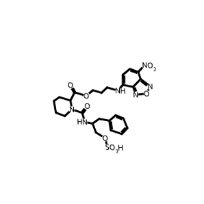 O=C(OCCCNc1ccc([N+](=O)[O-])c2nonc12)C1CCCCN1C(=O)NC(COS(=O)(=O)O)Cc1ccccc1